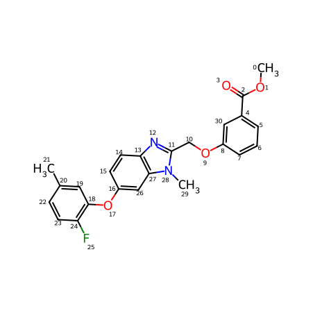 COC(=O)c1cccc(OCc2nc3ccc(Oc4cc(C)ccc4F)cc3n2C)c1